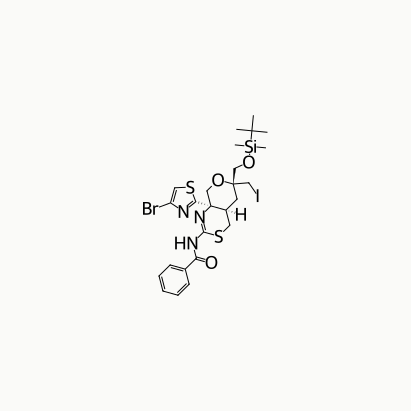 CC(C)(C)[Si](C)(C)OC[C@@]1(CI)C[C@H]2CSC(NC(=O)c3ccccc3)=N[C@@]2(c2nc(Br)cs2)CO1